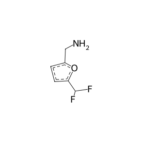 NCc1ccc(C(F)F)o1